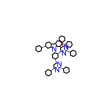 c1ccc(-c2ccc3c4ccc(-c5ccccc5)cc4n(-c4ccc(-c5cc(-c6ccccc6)nc(-c6ccccc6)n5)cc4-c4cc(-c5ccccc5)nc(-c5ccccc5)n4)c3c2)cc1